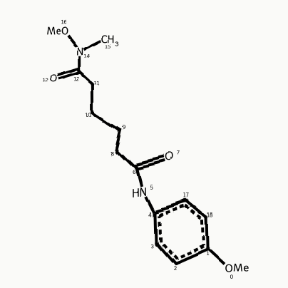 COc1ccc(NC(=O)CCCCC(=O)N(C)OC)cc1